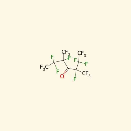 O=C(C(F)(C(F)(F)F)C(F)(F)C(F)(F)F)C(F)(C(F)(F)F)C(F)(F)C(F)(F)F